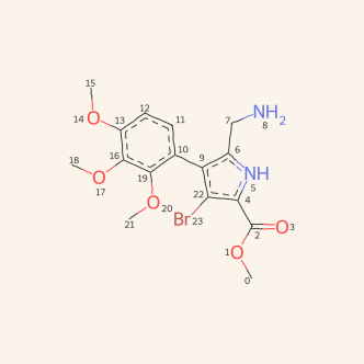 COC(=O)c1[nH]c(CN)c(-c2ccc(OC)c(OC)c2OC)c1Br